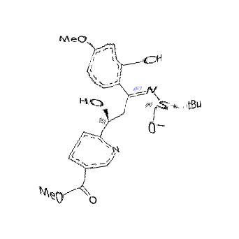 COC(=O)c1ccc([C@@H](O)C/C(=N\[S@@+]([O-])C(C)(C)C)c2ccc(OC)cc2O)nc1